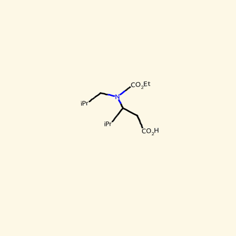 CCOC(=O)N(CC(C)C)C(CC(=O)O)C(C)C